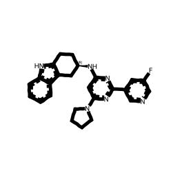 Fc1cncc(-c2nc(N[C@@H]3CCc4[nH]c5ccccc5c4C3)cc(N3CCCC3)n2)c1